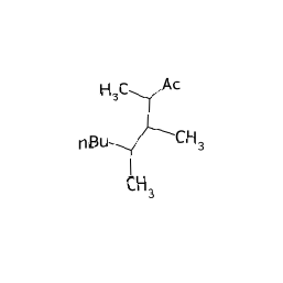 CCCCC(C)C(C)C(C)C(C)=O